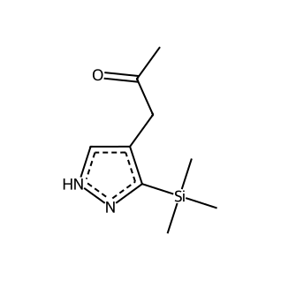 CC(=O)Cc1c[nH]nc1[Si](C)(C)C